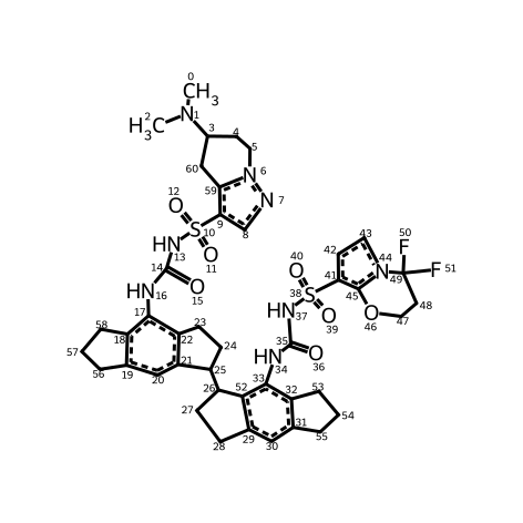 CN(C)C1CCn2ncc(S(=O)(=O)NC(=O)Nc3c4c(cc5c3CCC5C3CCc5cc6c(c(NC(=O)NS(=O)(=O)c7ccn8c7OCCC8(F)F)c53)CCC6)CCC4)c2C1